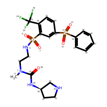 CN(CCNS(=O)(=O)c1cc(S(=O)(=O)c2ccccc2)ccc1C(F)(F)F)C(=O)N[C@@H]1CCNC1